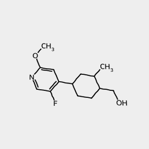 COc1cc(C2CCC(CO)C(C)C2)c(F)cn1